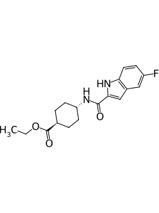 CCOC(=O)[C@H]1CC[C@H](NC(=O)c2cc3cc(F)ccc3[nH]2)CC1